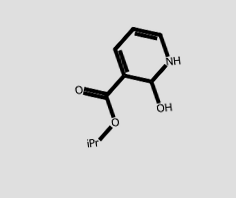 CC(C)OC(=O)C1=CC=CNC1O